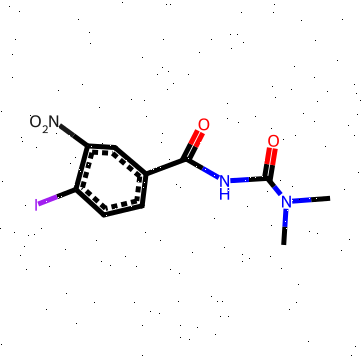 CN(C)C(=O)NC(=O)c1ccc(I)c([N+](=O)[O-])c1